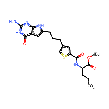 CCC(C)OC(=O)C(CCC(=O)O)NC(=O)c1cc(CCCc2cc3c(=O)[nH]c(N)nc3[nH]2)cs1